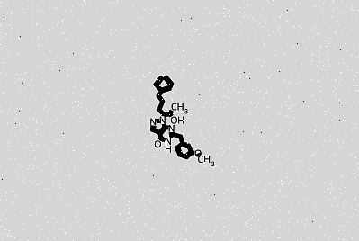 COc1cccc(Cc2nc3c(cnn3C(CCCc3ccccc3)C(C)O)c(=O)[nH]2)c1